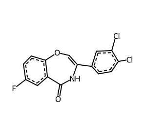 O=C1NC(c2ccc(Cl)c(Cl)c2)=COc2ccc(F)cc21